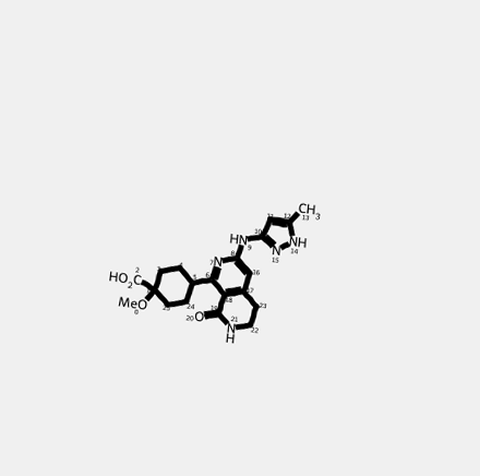 COC1(C(=O)O)CCC(c2nc(Nc3cc(C)[nH]n3)cc3c2C(=O)NCC3)CC1